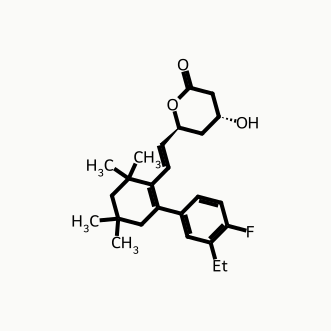 CCc1cc(C2=C(/C=C/[C@@H]3C[C@@H](O)CC(=O)O3)C(C)(C)CC(C)(C)C2)ccc1F